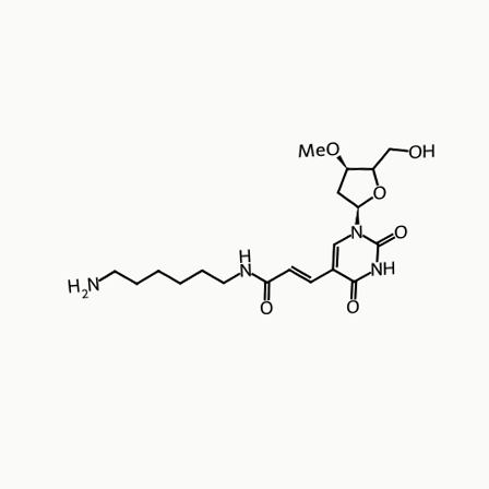 CO[C@@H]1C[C@H](n2cc(/C=C/C(=O)NCCCCCCN)c(=O)[nH]c2=O)OC1CO